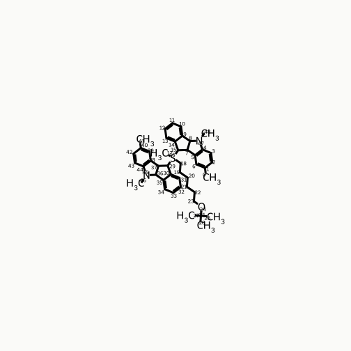 Cc1ccc2c(c1)C1C(c3ccccc3C1S(C)(CCCCCCOC(C)(C)C)C1c3ccccc3C3C1c1cc(C)ccc1N3C)N2C